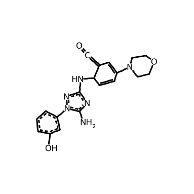 Nc1nc(NC2C=CC(N3CCOCC3)=CC2=C=O)nn1-c1cccc(O)c1